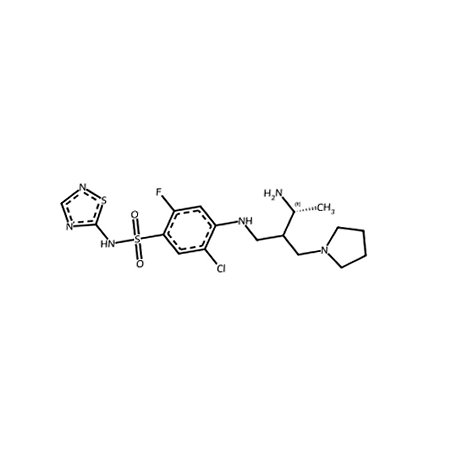 C[C@@H](N)C(CNc1cc(F)c(S(=O)(=O)Nc2ncns2)cc1Cl)CN1CCCC1